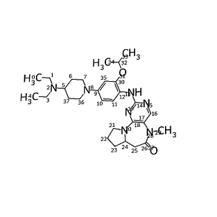 CCN(CC)C1CCN(c2ccc(Nc3ncc4c(n3)N3CCCC3CC(=O)N4C)c(OC(C)C)c2)CC1